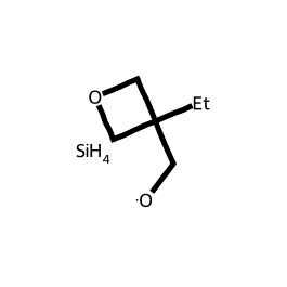 CCC1(C[O])COC1.[SiH4]